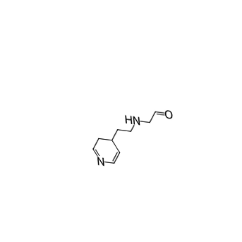 O=CCNCCC1C=CN=CC1